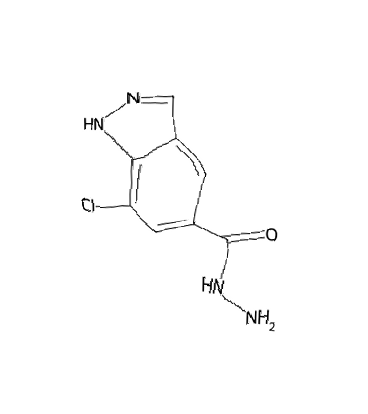 NNC(=O)c1cc(Cl)c2[nH]ncc2c1